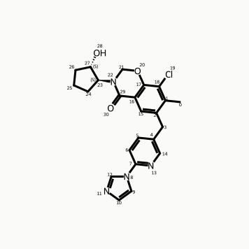 Cc1c(Cc2ccc(-n3ccnc3)nc2)cc2c(c1Cl)OCN([C@H]1CCC[C@@H]1O)C2=O